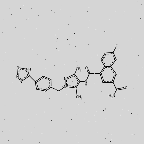 Cc1c(NC(=O)c2cc(C(N)=O)nc3cc(F)ccc23)c(C(F)(F)F)nn1Cc1ccc(-c2nnn[nH]2)cc1